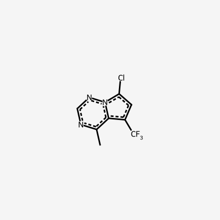 Cc1ncnn2c(Cl)cc(C(F)(F)F)c12